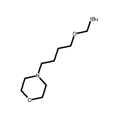 CC(C)(C)COCCCCN1CCOCC1